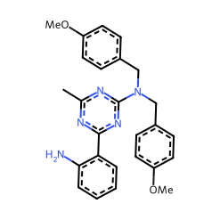 COc1ccc(CN(Cc2ccc(OC)cc2)c2nc(C)nc(-c3ccccc3N)n2)cc1